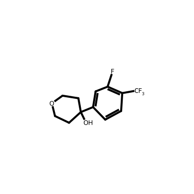 OC1(c2ccc(C(F)(F)F)c(F)c2)CCOCC1